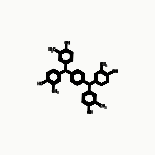 CC1=C(O)CCC(C(c2ccc(C(c3ccc(O)c(C)c3)c3ccc(O)c(C)c3)cc2)c2ccc(O)c(C)c2)=C1